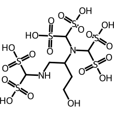 O=S(=O)(O)C(NCC(CCO)N(C(S(=O)(=O)O)S(=O)(=O)O)C(S(=O)(=O)O)S(=O)(=O)O)S(=O)(=O)O